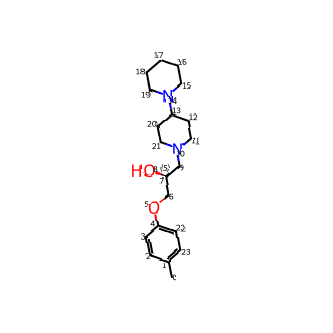 Cc1ccc(OC[C@@H](O)CN2CCC(N3CCCCC3)CC2)cc1